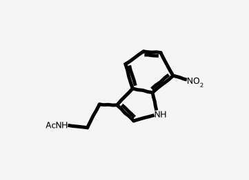 CC(=O)NCCc1c[nH]c2c([N+](=O)[O-])cccc12